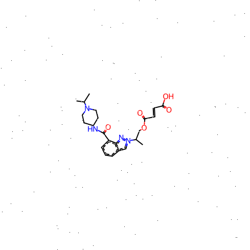 CC(C)N1CCC(NC(=O)c2cccc3cn(C(C)COC(=O)/C=C/C(=O)O)nc23)CC1